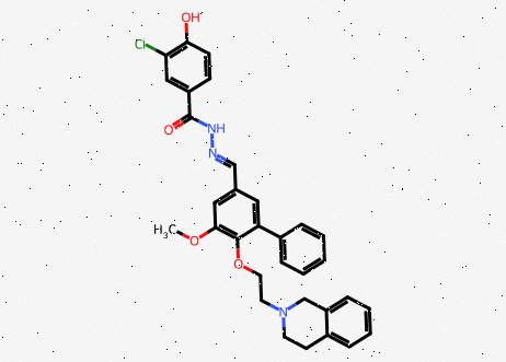 COc1cc(/C=N/NC(=O)c2ccc(O)c(Cl)c2)cc(-c2ccccc2)c1OCCN1CCc2ccccc2C1